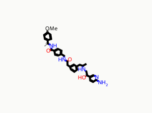 COc1ccc([C@@H](C)NC(=O)c2ccc(CNC(=O)Cc3cccc(CC(C)NC[C@H](O)c4ccc(N)nc4)c3)cc2)cc1